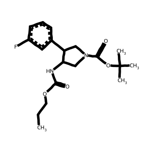 CCCOC(=O)NC1CN(C(=O)OC(C)(C)C)CC1c1cccc(F)c1